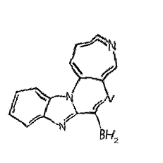 Bc1nc2c(n3c1nc1ccccc13)=CC=C=NC=2